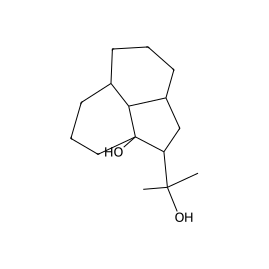 CC(C)(O)C1CC2CCCC3CCCC1(O)C32